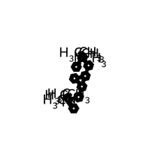 CC1(C)N=C(c2ccccc2)N(c2cccc(-c3ccc4c5ccc(-c6cccc(N7C(c8ccccc8)=NC(C)(C)C7(C)C)c6)cc5c5ccccc5c4c3)c2)C1(C)C